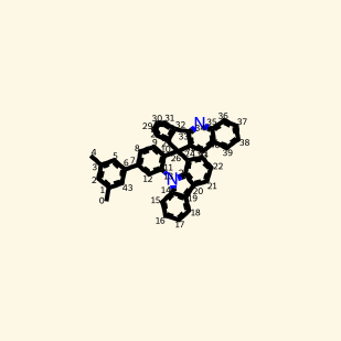 Cc1cc(C)cc(-c2ccc3c(c2)-n2c4ccccc4c4cccc(c42)C32c3ccccc3-c3nc4ccccc4cc32)c1